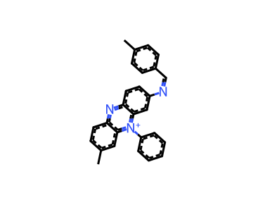 Cc1ccc(/C=N\c2ccc3nc4ccc(C)cc4[n+](-c4ccccc4)c3c2)cc1